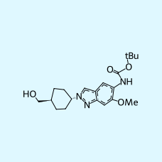 COc1cc2nn([C@H]3CC[C@H](CO)CC3)cc2cc1NC(=O)OC(C)(C)C